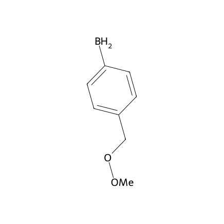 Bc1ccc(COOC)cc1